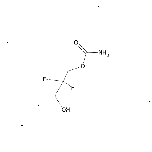 NC(=O)OCC(F)(F)CO